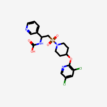 O=C(O)NC(CS(=O)(=O)N1CCC(Oc2ncc(Cl)cc2Cl)CC1)c1cccnc1